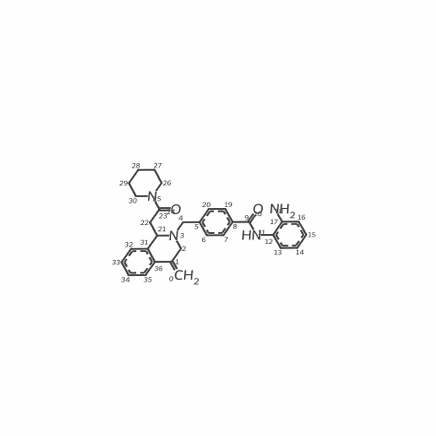 C=C1CN(Cc2ccc(C(=O)Nc3ccccc3N)cc2)C(CC(=O)N2CCCCC2)c2ccccc21